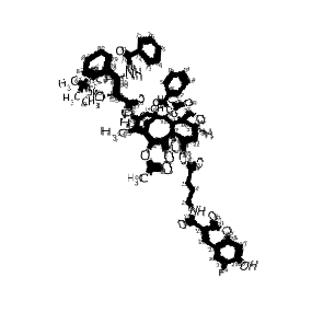 CC(=O)OC1C(=O)C2(C)C(OC(=O)CCCNC(=O)c3cc4cc(F)c(O)cc4oc3=O)C[C@@H]3OC[C@@]3(OC(C)=O)C2[C@H](OC(=O)c2ccccc2)C2(O)CC(OC(=O)[C@H](O[Si](C)(C)C(C)(C)C)[C@@H](NC(=O)c3ccccc3)c3ccccc3)C(C)=C1C2(C)C